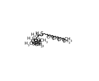 COc1c(OC(C)=O)c(C)c(C/C=C(\C)CC/C=C(\C)CC/C=C(\C)CC/C=C(\C)CC/C=C(\C)CCC=C(C)C)c(OC(C)=O)c1OC